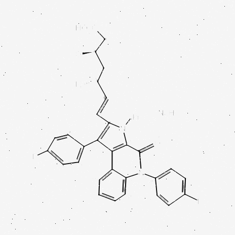 CC(C)n1c(/C=C/[C@H](O)C[C@@H](O)CC(=O)O)c(-c2ccc(F)cc2)c2c3ccccc3n(-c3ccc(F)cc3)c(=O)c21.[NaH]